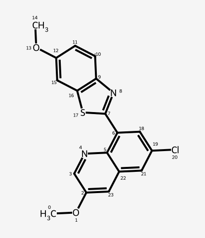 COc1cnc2c(-c3nc4[c]cc(OC)cc4s3)cc(Cl)cc2c1